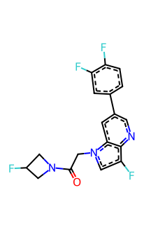 O=C(Cn1cc(F)c2ncc(-c3ccc(F)c(F)c3)cc21)N1CC(F)C1